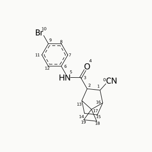 N#CC1C(C(=O)Nc2ccc(Br)cc2)C2CCC1C21CC1